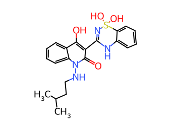 CC(C)CCNn1c(=O)c(C2=NS(O)(O)c3ccccc3N2)c(O)c2ccccc21